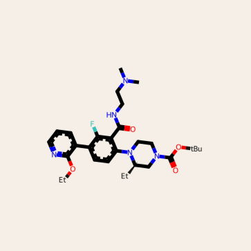 CCOc1ncccc1-c1ccc(N2CCN(C(=O)OC(C)(C)C)C[C@H]2CC)c(C(=O)NCCN(C)C)c1F